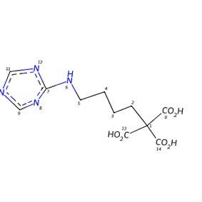 O=C(O)C(CCCCNc1ncncn1)(C(=O)O)C(=O)O